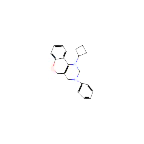 c1ccc(N2CC3=C(c4ccccc4OC3)N(C3CCC3)C2)cc1